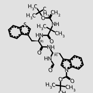 C=C(NC(C)(C)C(=O)N[C@H](Cc1csc2ccccc12)C(=O)N[C@H](Cc1cn(C(=O)OC(C)(C)C)c2ccccc12)NC=O)OC(C)(C)C